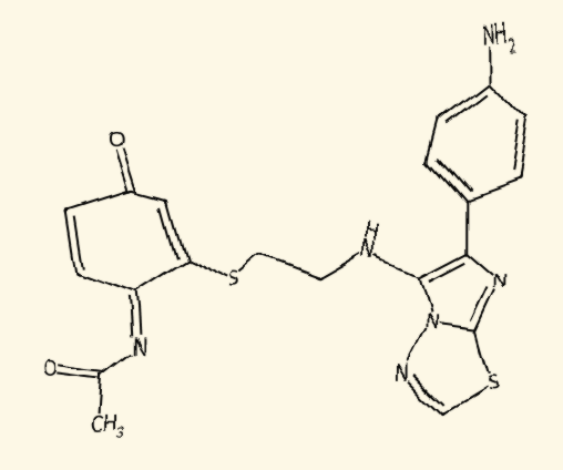 CC(=O)/N=C1\C=CC(=O)C=C1SCCNc1c(-c2ccc(N)cc2)nc2scnn12